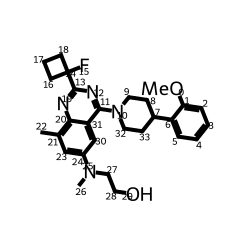 COc1ccccc1C1CCN(c2nc(C3(F)CCC3)nc3c(C)cc(N(C)CCO)cc23)CC1